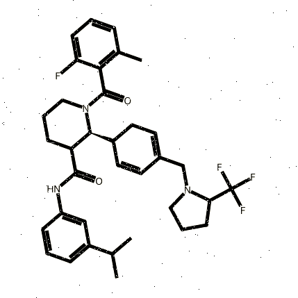 Cc1cccc(F)c1C(=O)N1CCCC(C(=O)Nc2cccc(C(C)C)c2)[C@@H]1C1C=CC(CN2CCCC2C(F)(F)F)=CC1